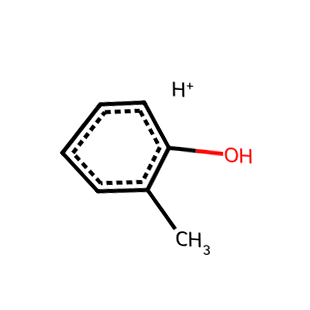 Cc1ccccc1O.[H+]